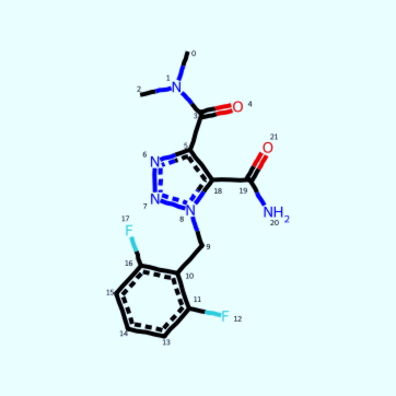 CN(C)C(=O)c1nnn(Cc2c(F)cccc2F)c1C(N)=O